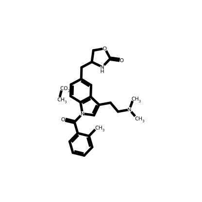 CC(=O)O.Cc1ccccc1C(=O)n1cc(CCN(C)C)c2cc(CC3COC(=O)N3)ccc21